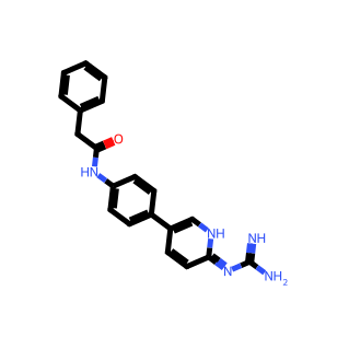 N=C(N)/N=c1/ccc(-c2ccc(NC(=O)Cc3ccccc3)cc2)c[nH]1